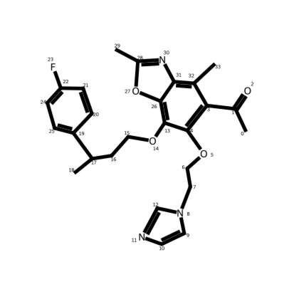 CC(=O)c1c(OCCn2ccnc2)c(OCCC(C)c2ccc(F)cc2)c2oc(C)nc2c1C